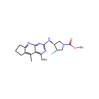 CNc1nc(N[C@H]2CN(C(=O)OC(C)(C)C)C[C@H]2F)nc2nc3c(c(C)c12)CCC3